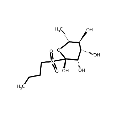 CCCCS(=O)(=O)[C@]1(O)O[C@H](C)[C@@H](O)[C@H](O)[C@@H]1O